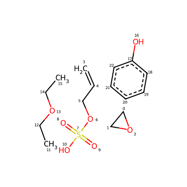 C1CO1.C=CCOS(=O)(=O)O.CCOCC.Oc1ccccc1